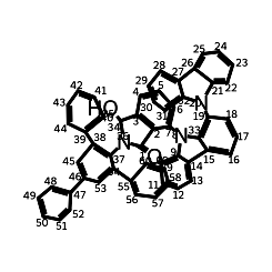 O=C1c2c(cccc2-n2c3ccccc3c3cccc(-n4c5ccccc5c5ccccc54)c32)C(O)N1c1c(-c2ccccc2)cc(-c2ccccc2)cc1-c1ccccc1